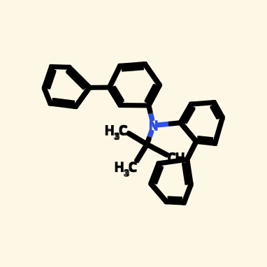 CC(C)(C)N(c1cccc(-c2ccccc2)c1)c1ccccc1-c1ccccc1